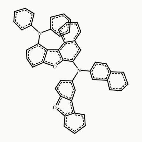 c1ccc(N(c2ccccc2)c2cccc3oc4c(N(c5ccc6ccccc6c5)c5ccc6oc7ccccc7c6c5)cc5ccccc5c4c23)cc1